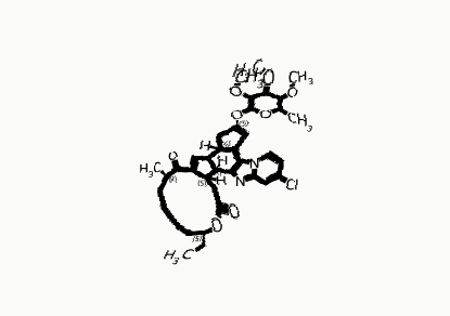 CC[C@H]1CCCC[C@@H](C)C(=O)C2=CC3[C@@H]4C[C@H](OC5OC(C)C(OC)C(OC)C5OC)CC4c4c(nc5cc(Cl)ccn45)[C@H]3[C@@H]2CC(=O)O1